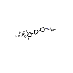 CCCCCCC(C)Oc1c(F)cc(-c2ccc(C3CCC(/C=C/SCCC)CC3)cc2)cc1F